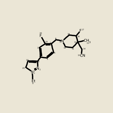 CC[N+]1=NC(c2ccc(CN3CCC(C)(CC#N)C(F)C3)c(F)c2)=CC1